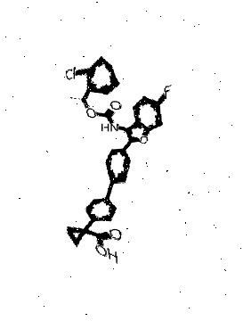 C[C@@H](OC(=O)Nc1c(-c2ccc(-c3ccc(C4(C(=O)O)CC4)cc3)cc2)oc2cc(F)ccc12)c1ccccc1Cl